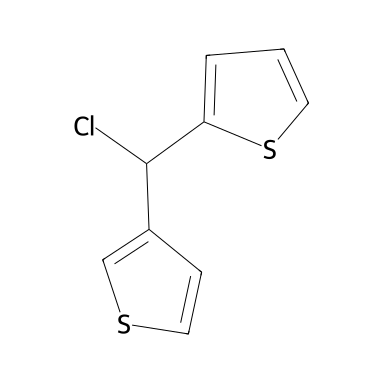 ClC(c1ccsc1)c1cccs1